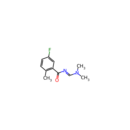 Cc1ccc(F)cc1C(=O)N=CN(C)C